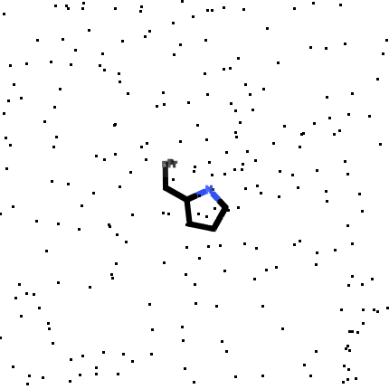 CCCCC1CCC[N]1